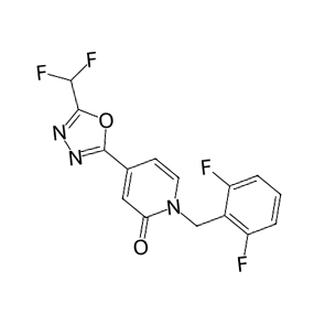 O=c1cc(-c2nnc(C(F)F)o2)ccn1Cc1c(F)cccc1F